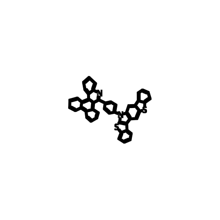 c1ccc2c(c1)nc(-c1ccc(-n3c4cc5c(cc4c4c6ccccc6sc43)sc3ccccc35)cc1)c1c3ccccc3c3ccccc3c21